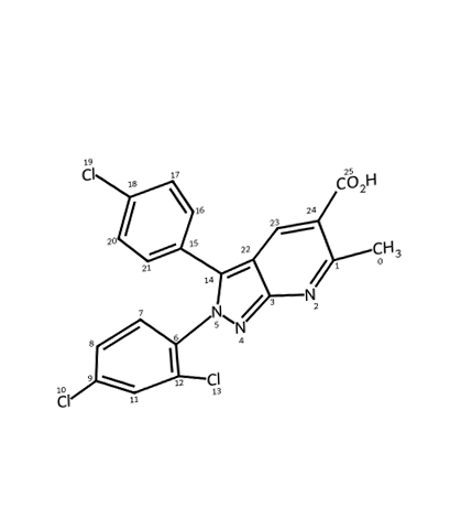 Cc1nc2nn(-c3ccc(Cl)cc3Cl)c(-c3ccc(Cl)cc3)c2cc1C(=O)O